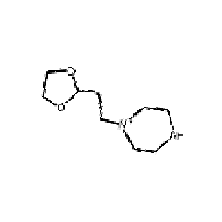 C1C[N+](CCC2OCCO2)CCN1